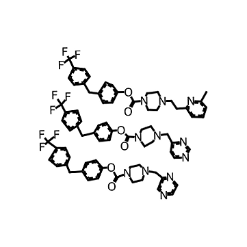 Cc1cccc(CCN2CCN(C(=O)Oc3ccc(Cc4ccc(C(F)(F)F)cc4)cc3)CC2)n1.O=C(Oc1ccc(Cc2ccc(C(F)(F)F)cc2)cc1)N1CCN(Cc2ccncn2)CC1.O=C(Oc1ccc(Cc2ccc(C(F)(F)F)cc2)cc1)N1CCN(Cc2cnccn2)CC1